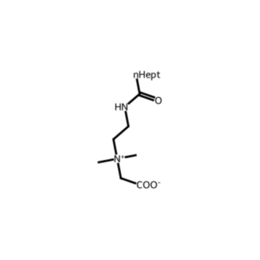 CCCCCCCC(=O)NCC[N+](C)(C)CC(=O)[O-]